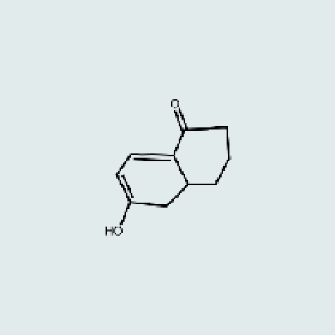 O=C1CCCC2CC(O)=CC=C12